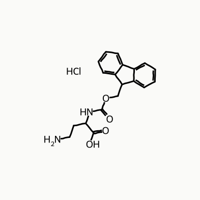 Cl.NCCC(NC(=O)OCC1c2ccccc2-c2ccccc21)C(=O)O